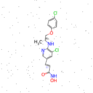 C[C@H](COc1ccc(Cl)cc1)Nc1ncc(/C=C/C(=O)NO)cc1Cl